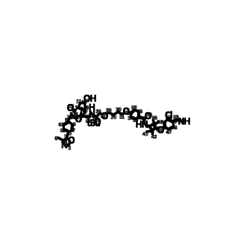 Cc1ncoc1-c1ccc(CNC(=O)[C@@H]2C[C@@H](O)CN2C(=O)[C@@H](NC(=O)COCCCCOc2ccc(C(=O)N[C@H]3C(C)(C)[C@H](Oc4ccc(C=N)c(Cl)c4)C3(C)C)cc2)C(C)(C)C)cc1